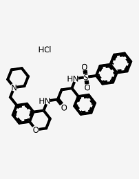 Cl.O=C(CC(NS(=O)(=O)c1ccc2ccccc2c1)c1ccccc1)NC1CCOc2ccc(CN3CCCCC3)cc21